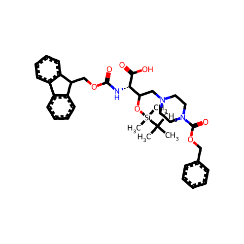 CC(C)(C)[Si](C)(C)OC(CN1CCN(C(=O)OCc2ccccc2)CC1)[C@H](NC(=O)OCC1c2ccccc2-c2ccccc21)C(=O)O